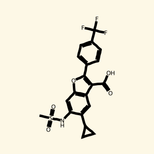 CS(=O)(=O)Nc1cc2oc(-c3ccc(C(F)(F)F)cc3)c(C(=O)O)c2cc1C1CC1